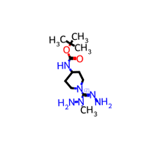 CN(N)/C(=N\N)N1CCC(NC(=O)OC(C)(C)C)CC1